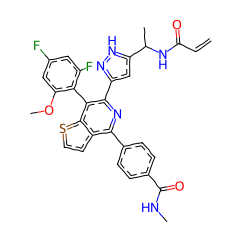 C=CC(=O)NC(C)c1cc(-c2nc(-c3ccc(C(=O)NC)cc3)c3ccsc3c2-c2c(F)cc(F)cc2OC)n[nH]1